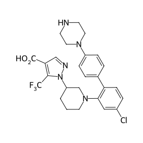 O=C(O)c1cnn(C2CCCN(c3cc(Cl)ccc3-c3ccc(N4CCNCC4)cc3)C2)c1C(F)(F)F